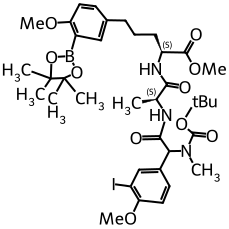 COC(=O)[C@H](CCCc1ccc(OC)c(B2OC(C)(C)C(C)(C)O2)c1)NC(=O)[C@H](C)NC(=O)C(c1ccc(OC)c(I)c1)N(C)C(=O)OC(C)(C)C